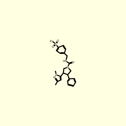 CCS(=O)(=O)c1ccc(CNC(=O)N2CC(c3ccccc3)C(c3cc(C)nn3C)C2)cc1